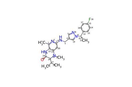 Cc1nc(NCc2cnn([C@H](C)c3ccc(F)cc3)c2)cc2c1NC(=O)C(C(C)C)N2C